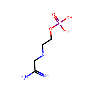 N=C(N)CNCCOP(=O)(O)O